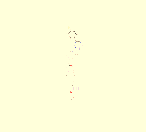 CCOC(=O)NCCN1CCC(NC(=O)CN2CCN(c3nncc(-c4ccc(F)cc4)n3)CC2)CC1